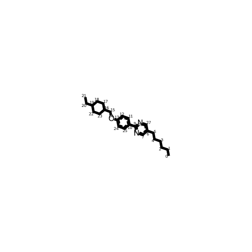 CCCCCCc1cnc(-c2ccc(OCC3CCC(CC)CC3)cc2)nc1